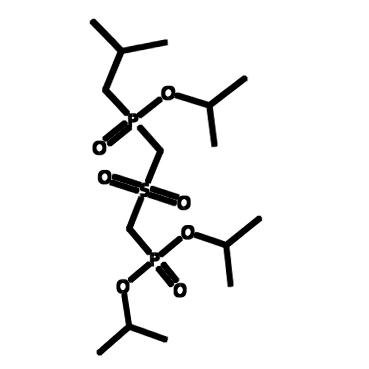 CC(C)CP(=O)(CS(=O)(=O)CP(=O)(OC(C)C)OC(C)C)OC(C)C